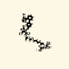 CCCCc1nc(Cl)c(C(=O)OC(C)OC(=O)OCCCC[C@@H](CON(O)O)ON(O)O)n1Cc1ccc(-c2ccccc2-c2nnn[nH]2)cc1